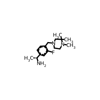 C[C@H](N)c1ccc(CN2CCN(C)C(C)(C)C2)c(F)c1